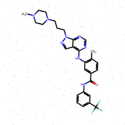 Cc1ccc(C(=O)Nc2cccc(C(F)(F)F)c2)cc1Nc1ncnc2c1cnn2CCCN1CCN(C)CC1